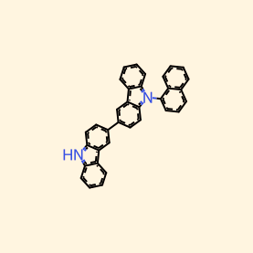 c1ccc2c(-n3c4ccccc4c4cc(-c5ccc6[nH]c7ccccc7c6c5)ccc43)cccc2c1